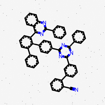 N#Cc1ccccc1-c1cccc(-c2nc(-c3ccccc3)nc(-c3ccc(-c4c(-c5ccccc5)cccc4-c4nc(-c5ccccc5)nc5ccccc45)cc3)n2)c1